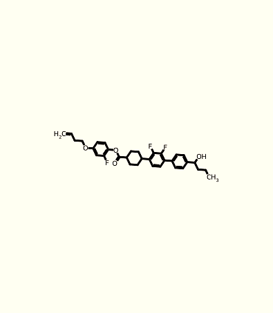 C=CCCOc1ccc(OC(=O)C2CCC(c3ccc(-c4ccc(C(O)CCC)cc4)c(F)c3F)CC2)c(F)c1